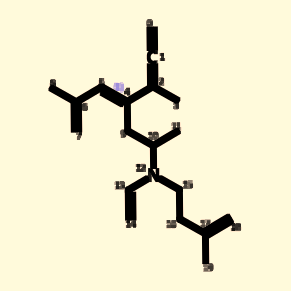 C=C=C(C)/C(=C/C(=C)C)CC(C)N(C=C)CCC(=C)C